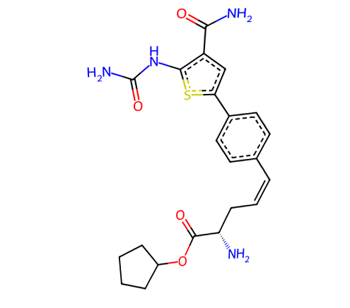 NC(=O)Nc1sc(-c2ccc(/C=C\C[C@H](N)C(=O)OC3CCCC3)cc2)cc1C(N)=O